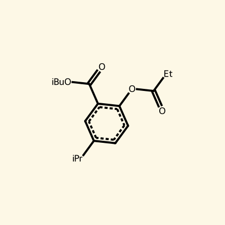 CCC(=O)Oc1ccc(C(C)C)cc1C(=O)OCC(C)C